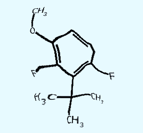 COc1ccc(F)c(C(C)(C)C)c1F